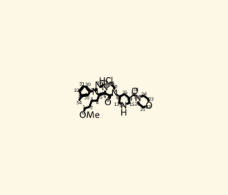 COCCCCc1c(C(=O)N(CC(C)C)[C@@H]2CNC[C@H](C(=O)N3CCOCC3)C2)nnn1-c1cccc(C)c1.Cl